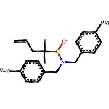 C=CCC(C)(C)[S+]([O-])N(Cc1ccc(OC)cc1)Cc1ccc(OC)cc1